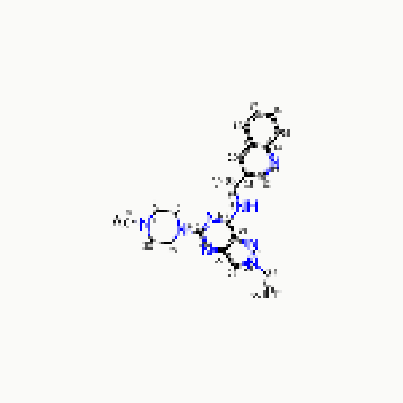 CC(=O)N1CCN(c2nc(N[C@H](C)c3cnc4ccccc4c3)c3nn(CC(C)C)cc3n2)CC1